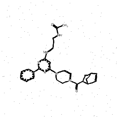 CC(=O)NCCNc1cc(N2CCN(C(=O)C3CC4C=CC3C4)CC2)nc(-c2ccccc2)n1